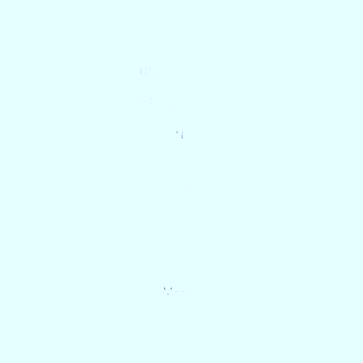 COC=C1CCC2(CC1)CCN(C(=O)OC(C)(C)C)CC2